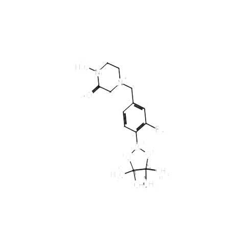 CN1CCN(Cc2ccc(B3OC(C)(C)C(C)(C)O3)c(F)c2)CC1=O